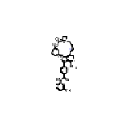 N#Cc1ccnc(NC(=O)c2ccc(-c3nn4c5c(cnc(N)c35)/C=C/CCN3CC[C@H]3C(=O)N[C@@H]3CCC[C@@H]4C3)cc2)c1